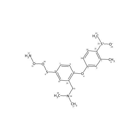 Cc1cc(Oc2ccc(SOON)cc2CN(C)C)ccc1[S+](C)[O-]